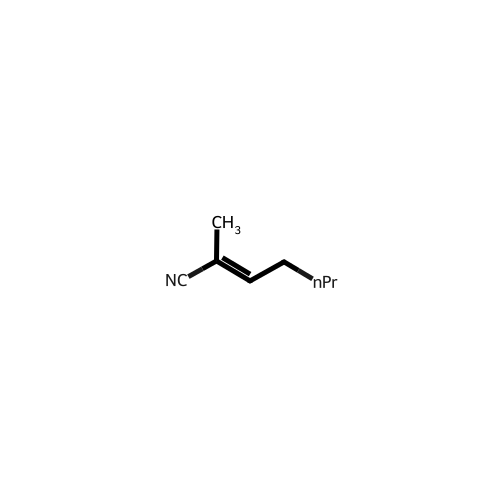 CCCC/C=C(\C)C#N